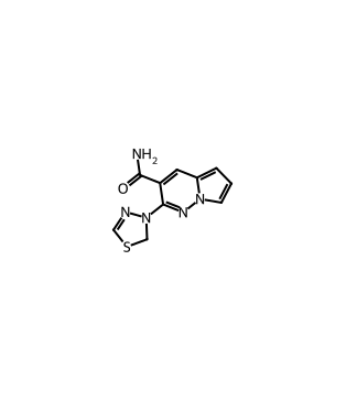 NC(=O)c1cc2cccn2nc1N1CSC=N1